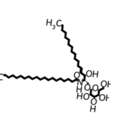 CCCCCCCCCCCCC/C=C/[C@@H](O)[C@H](CO[C@@H]1OC(CO)[C@H](O)[C@H](O)C1O)NC(=O)CCCCCCCCCCCCCCCCCCC